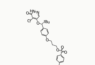 Cc1ccc(S(=O)(=O)OCCCOc2ccc(C(Oc3cn[nH]c(=O)c3Cl)C(C)(C)C)cc2)cc1